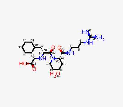 N=C(N)NCCCNC(=O)[C@@H]1CCCCN1C(=O)[C@@H](CC1CCCCC1)NCC(=O)O.O